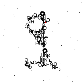 C=C1C(=O)N[C@@H](C)C(=O)N(C)[C@@H](C)C(=O)N[C@@H]([C@H](OC(=O)[C@@H](NC(=O)CC)[C@H](OP(=O)(O)OCc2ccc(NC(=O)[C@H](CCCNC(N)=O)NC[C@@H](NC(=O)CCOCCN3C(=O)C=CC3=O)C(C)C)cc2)C(C)C)C(C)C)C(=O)N(C)[C@@H]([C@@H](C)OC)C(=O)O[C@H](C)[C@H](NC(C)=O)C(=O)O[C@H](Cc2ccccc2)C(=O)N1C